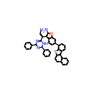 C/C=C(/C1=NC(c2ccccc2)=NC(c2ccccc2)N1)c1c(N)oc2cc(-c3cccc4c3sc3ccc5ccccc5c34)ccc12